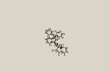 CC1=Cc2ccccc2[CH]1[Mg][C]1=C(C)C(=[Si](c2ccccc2)c2ccccc2)c2ccccc21